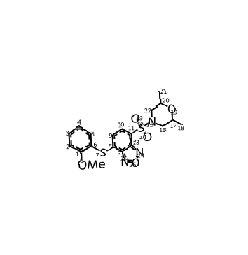 COc1ccccc1Sc1ccc(S(=O)(=O)N2CC(C)OC(C)C2)c2nonc12